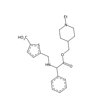 CCN1CCC(COC(=O)C(NCc2ccc(C(=O)O)s2)c2ccccc2)CC1